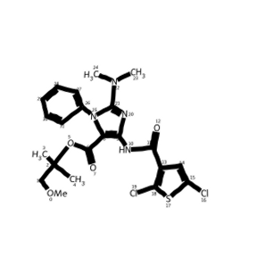 COCC(C)(C)OC(=O)c1c(NC(=O)c2cc(Cl)sc2Cl)nc(N(C)C)n1-c1ccccc1